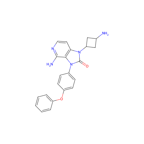 Nc1nccc2c1n(-c1ccc(Oc3ccccc3)cc1)c(=O)n2C1CC(N)C1